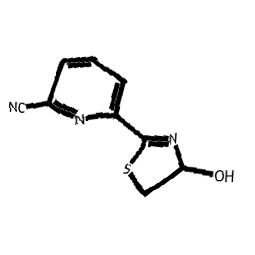 N#Cc1cccc(C2=NC(O)CS2)n1